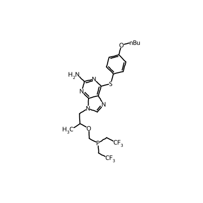 CCCCOc1ccc(Sc2nc(N)nc3c2ncn3CC(C)OCP(CC(F)(F)F)CC(F)(F)F)cc1